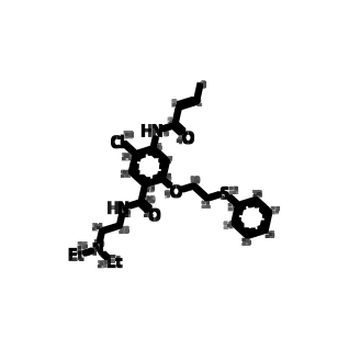 C/C=C/C(=O)Nc1cc(OCCSc2ccccc2)c(C(=O)NCCN(CC)CC)cc1Cl